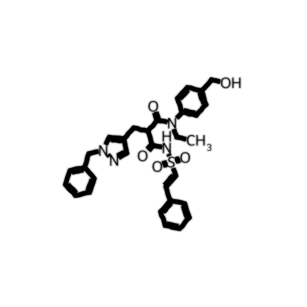 CCN(C(=O)C(Cc1cnn(Cc2ccccc2)c1)C(=O)NS(=O)(=O)C=Cc1ccccc1)c1ccc(CO)cc1